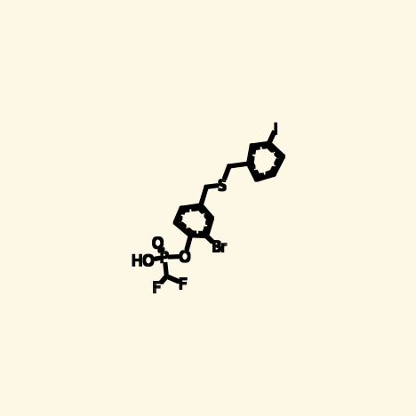 O=P(O)(Oc1ccc(CSCc2cccc(I)c2)cc1Br)C(F)F